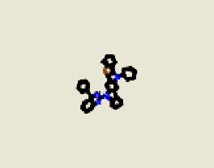 c1ccc(-c2nc(-n3c4ccccc4c4cc5c(cc43)c3sc4ccccc4c3n5-c3ccccc3)nc3ccccc23)cc1